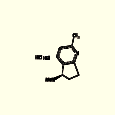 CN[C@@H]1CCc2nc(C(F)(F)F)ccc21.Cl.Cl